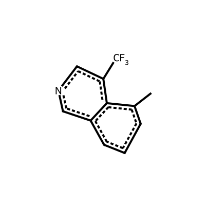 Cc1cccc2cncc(C(F)(F)F)c12